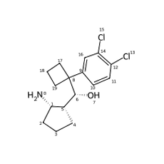 N[C@H]1CCC[C@H]1[C@@H](O)C1(c2ccc(Cl)c(Cl)c2)CCC1